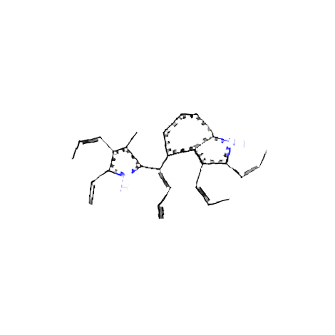 C=C/C=C(\c1[nH]c(C=C)c(/C=C\C)c1C)c1cccc2[nH]c(/C=C\C)c(/C=C\C)c12